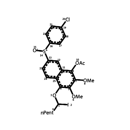 CCCCCC(I)Oc1c(OC)c(OC)c(OC(C)=O)c2cc([S+]([O-])c3ccc(Cl)cc3)ccc12